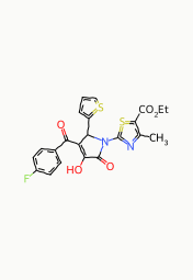 CCOC(=O)c1sc(N2C(=O)C(O)=C(C(=O)c3ccc(F)cc3)C2c2cccs2)nc1C